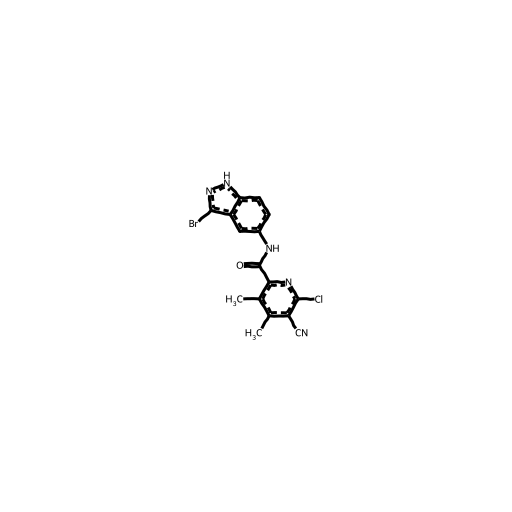 Cc1c(C(=O)Nc2ccc3[nH]nc(Br)c3c2)nc(Cl)c(C#N)c1C